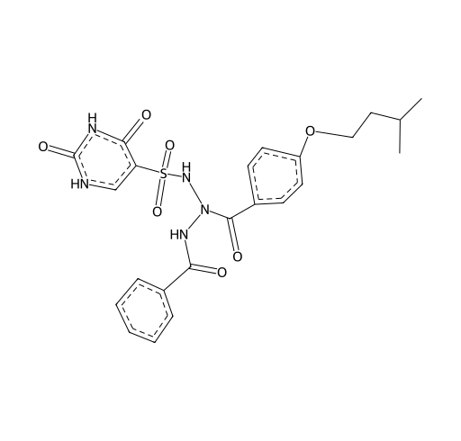 CC(C)CCOc1ccc(C(=O)N(NC(=O)c2ccccc2)NS(=O)(=O)c2c[nH]c(=O)[nH]c2=O)cc1